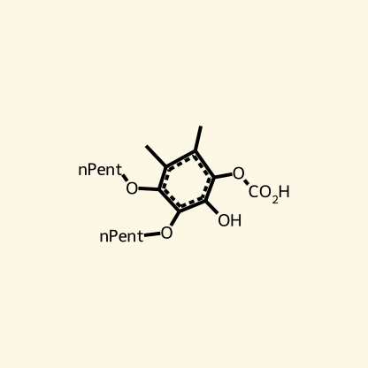 CCCCCOc1c(C)c(C)c(OC(=O)O)c(O)c1OCCCCC